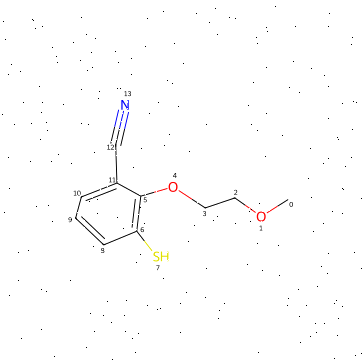 COCCOc1c(S)cccc1C#N